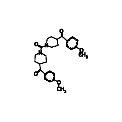 COc1ccc(C(=O)C2CCN(C(=O)N3CCC(C(=O)c4ccc(OC)cc4)CC3)CC2)cc1